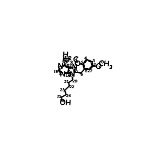 COc1ccc(OC)c(Cc2nc3c(N)ncnc3n2CCCCCCO)c1